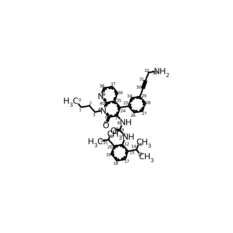 CCCCn1c(=O)c(NC(=O)Nc2c(C(C)C)cccc2C(C)C)c(-c2cccc(C#CCN)c2)c2cccnc21